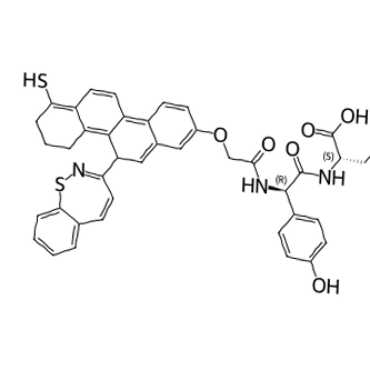 CC[C@H](NC(=O)[C@H](NC(=O)COc1ccc2c(c1)=CC(C1=NSc3ccccc3C=C1)c1c3c(ccc1=2)=C(S)CCC3)c1ccc(O)cc1)C(=O)O